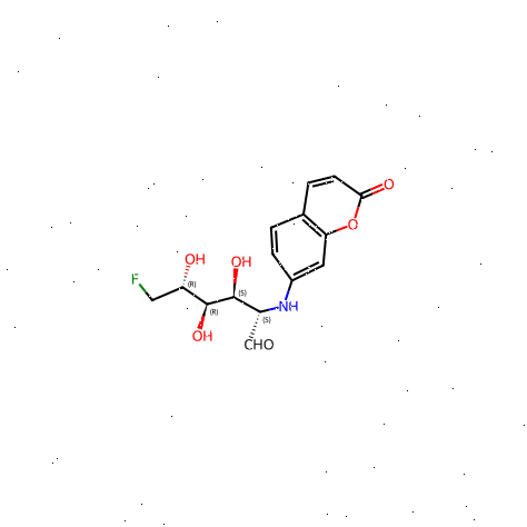 O=C[C@@H](Nc1ccc2ccc(=O)oc2c1)[C@H](O)[C@@H](O)[C@@H](O)CF